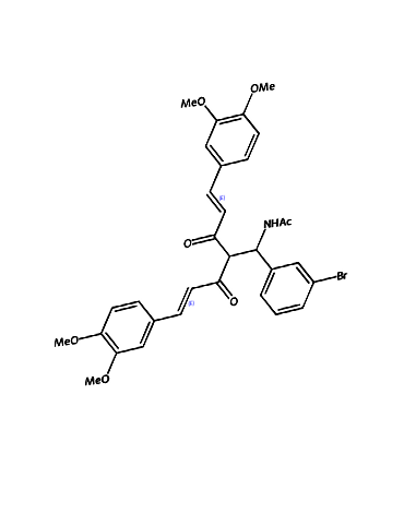 COc1ccc(/C=C/C(=O)C(C(=O)/C=C/c2ccc(OC)c(OC)c2)C(NC(C)=O)c2cccc(Br)c2)cc1OC